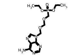 CCOP(=O)(COCOCn1cnc2c(N)ncnc21)OCC